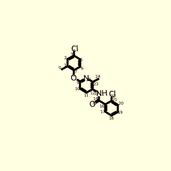 Cc1cc(Cl)ccc1Oc1ccc(NC(=O)c2ccccc2Cl)c(C)n1